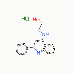 Cl.OCCNc1cc(-c2ccccc2)nc2ccccc12